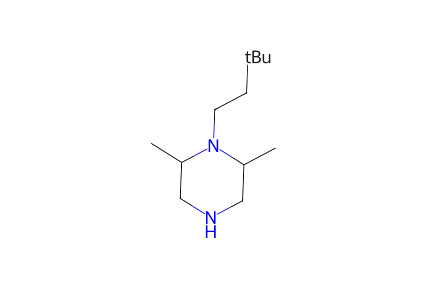 CC1CNCC(C)N1CCC(C)(C)C